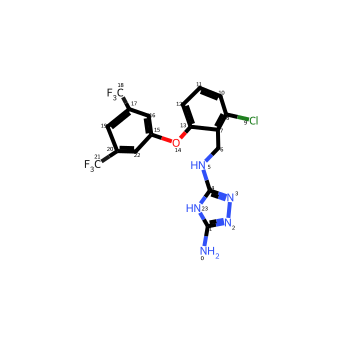 Nc1nnc(NCc2c(Cl)cccc2Oc2cc(C(F)(F)F)cc(C(F)(F)F)c2)[nH]1